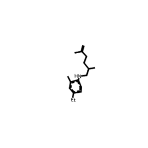 C=C(C)CCC(C)CNc1ccc(CC)cc1C